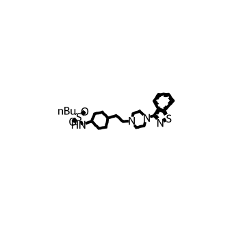 CCCCS(=O)(=O)NC1CCC(CCN2CCN(c3nsc4ccccc34)CC2)CC1